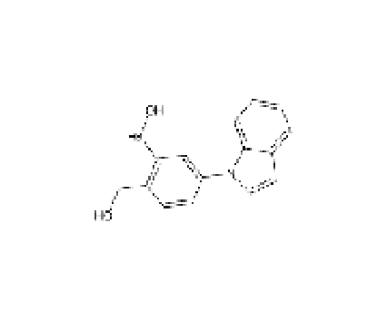 OBc1cc(-n2ccc3ccccc32)ccc1CO